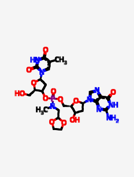 Cc1cn([C@H]2CC(OP(=O)(OC[C@H]3O[C@@H](n4cnc5c(=O)[nH]c(N)nc54)CC3O)N(C)CC3OCCO3)[C@@H](CO)O2)c(=O)[nH]c1=O